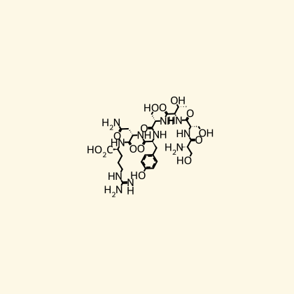 C[C@@H](O)[C@H](NC(=O)[C@H](CO)NC(=O)[C@@H](N)CO)C(=O)N[C@@H](CO)C(=O)N[C@@H](Cc1ccc(O)cc1)C(=O)N[C@@H](CC(N)=O)C(=O)N[C@@H](CCCNC(=N)N)C(=O)O